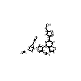 N#CC1C2[C@@H](C#N)C[C@]12n1cc(-c2nc(-c3cc(CO)on3)cn3nccc23)c(N)n1